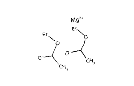 CCOC(C)[O-].CCOC(C)[O-].[Mg+2]